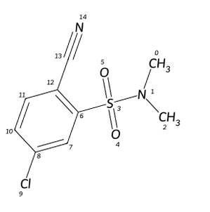 CN(C)S(=O)(=O)c1cc(Cl)ccc1C#N